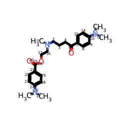 CN(CCCC(=O)c1ccc(N(C)C)cc1)CCOC(=O)c1ccc(N(C)C)cc1